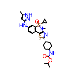 CN=S(=O)(c1cc(Nc2cc(C)[nH]n2)ccc1-c1cnc([C@H]2CC[C@H](NC(=O)OC(C)C)CC2)s1)C1CC1